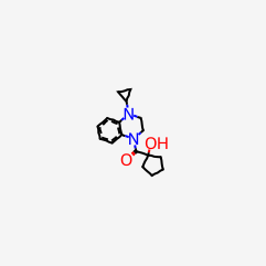 O=C(N1CCN(C2CC2)c2ccccc21)C1(O)CCCC1